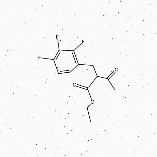 CCOC(=O)C(Cc1ccc(F)c(F)c1F)C(C)=O